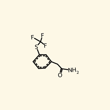 NC(=O)Cc1cccc(SC(F)(F)F)c1